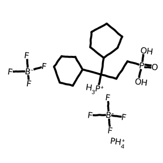 F[B-](F)(F)F.F[B-](F)(F)F.O=P(O)(O)CCC([PH3+])(C1CCCCC1)C1CCCCC1.[PH4+]